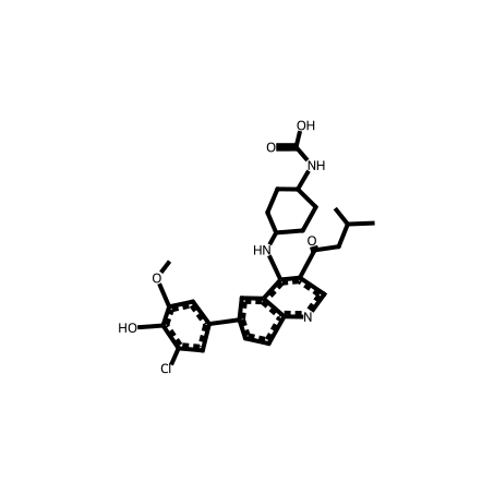 COc1cc(-c2ccc3ncc(C(=O)CC(C)C)c(NC4CCC(NC(=O)O)CC4)c3c2)cc(Cl)c1O